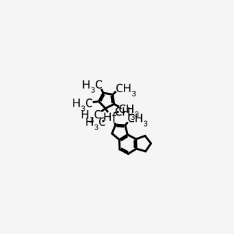 CC1=C(C)[C](C)([Hf]([CH3])([CH3])[C]2=C(C)c3c(ccc4c3CCC4)C2)C(C)=C1C